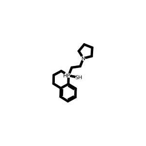 S[PH]1(CCN2CCCC2)CCCc2ccccc21